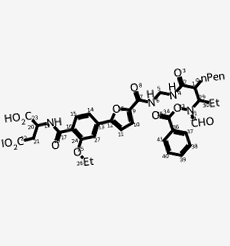 CCCCCC(C(=O)NCNC(=O)c1ccc(-c2ccc(C(=O)NC(CC(=O)O)C(=O)O)c(OCC)c2)o1)C(CC)N(C=O)OC(=O)c1ccccc1